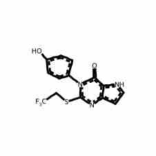 O=c1c2[nH]ccc2nc(SCC(F)(F)F)n1-c1ccc(O)cc1